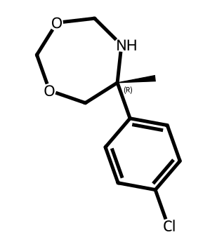 C[C@@]1(c2ccc(Cl)cc2)COCOCN1